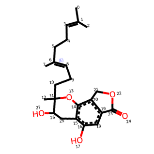 CC(C)=CCC/C(C)=C/CCC1(C)Oc2c(c(O)cc3c2COC3=O)CC1O